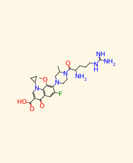 COc1c(N2CCN(C(=O)C(N)CCCNC(=N)N)C(C)C2)c(F)cc2c(=O)c(C(=O)O)cn(C3CC3)c12